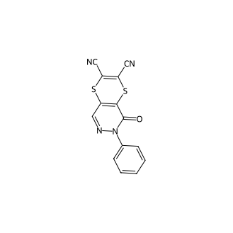 N#CC1=C(C#N)Sc2c(cnn(-c3ccccc3)c2=O)S1